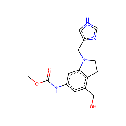 COC(=O)Nc1cc(CO)c2c(c1)N(Cc1c[nH]cn1)CC2